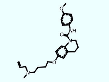 C=CCN(C)CCCCOc1ccc2c(c1)CCCN2C(=O)Nc1ccc(OC)cc1